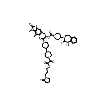 Cc1cc(C[C@@H](OC(=O)N2CCC(N3CCc4ccccc4NC3=O)CC2)C(=O)N2CCC(N3CCN(C(=O)C(=O)OCCCN4CCCC4=O)CC3)CC2)cc2oc(=O)n(C)c12